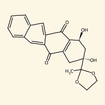 CC1([C@@]2(O)CC3=C(C(=O)c4cc5ccccc5cc4C3=O)[C@@H](O)C2)OCCO1